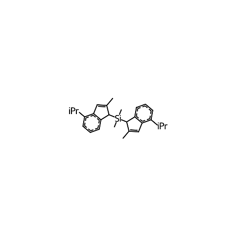 CC1=Cc2c(C(C)C)cccc2C1[Si](C)(C)C1C(C)=Cc2c(C(C)C)cccc21